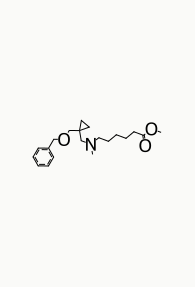 COC(=O)CCCCCN(C)CC1(COCc2ccccc2)CC1